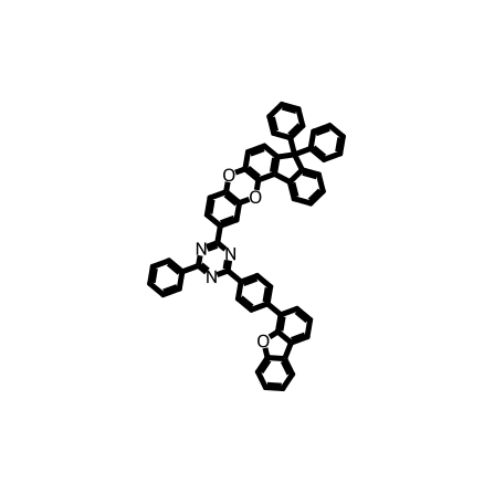 c1ccc(-c2nc(-c3ccc(-c4cccc5c4oc4ccccc45)cc3)nc(-c3ccc4c(c3)Oc3c(ccc5c3-c3ccccc3C5(c3ccccc3)c3ccccc3)O4)n2)cc1